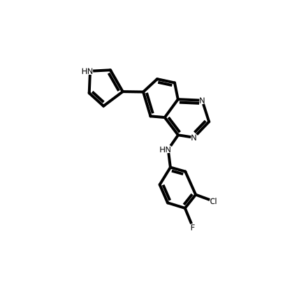 Fc1ccc(Nc2ncnc3ccc(-c4cc[nH]c4)cc23)cc1Cl